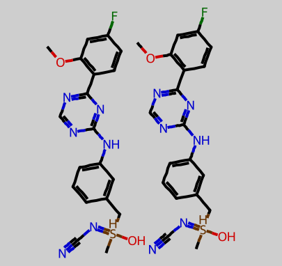 COc1cc(F)ccc1-c1ncnc(Nc2cccc(C[SH](C)(O)=NC#N)c2)n1.COc1cc(F)ccc1-c1ncnc(Nc2cccc(C[SH](C)(O)=NC#N)c2)n1